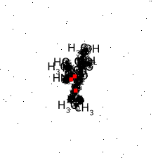 CC(C)c1ccccc1[C@H]1CCCN1C1CC2(CCN(c3ccc(C(=O)NS(=O)(=O)c4cc5c(c([N+](=O)[O-])c4)N[C@@H]([C@H]4CC[C@](C)(O)CC4)CO5)c(Oc4cc5cc[nH]c5nc4O[C@@H]4C[C@@H](CO)N(C)C4)c3)CC2)C1